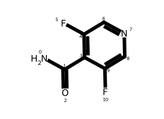 NC(=O)c1c(F)cncc1F